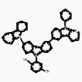 N#Cc1ccc(C#N)c(-n2c3ccc(-c4ccc5c(c4)c4ccccc4n5-c4ccccc4)cc3c3cc(-n4c5ccccc5c5ccccc54)ccc32)c1